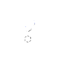 NCCC=C(CN)c1ccccc1